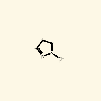 CN1[C]C[C]=N1